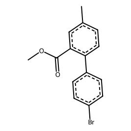 COC(=O)c1cc(C)ccc1-c1ccc(Br)cc1